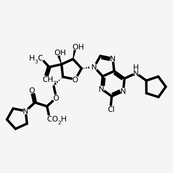 C=C(C)[C@@]1(O)[C@@H](COC(C(=O)O)C(=O)N2CCCC2)O[C@@H](n2cnc3c(NC4CCCC4)nc(Cl)nc32)[C@@H]1O